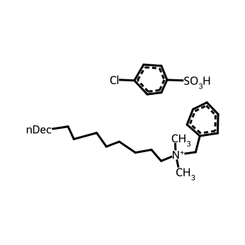 CCCCCCCCCCCCCCCCCC[N+](C)(C)Cc1ccccc1.O=S(=O)(O)c1ccc(Cl)cc1